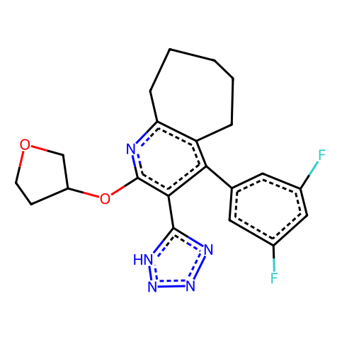 Fc1cc(F)cc(-c2c3c(nc(OC4CCOC4)c2-c2nnn[nH]2)CCCCC3)c1